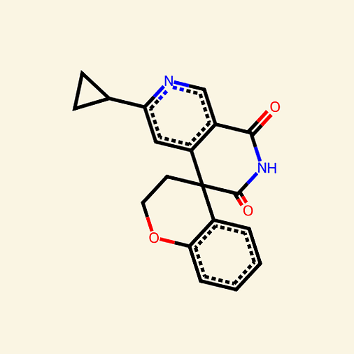 O=C1NC(=O)C2(CCOc3ccccc32)c2cc(C3CC3)ncc21